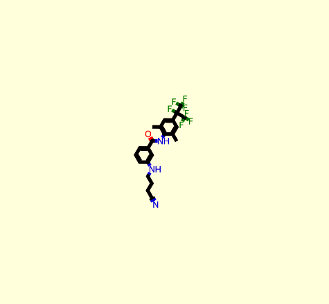 Cc1cc(C(F)(C(F)(F)F)C(F)(F)F)cc(C)c1NC(=O)c1cccc(NCCCC#N)c1